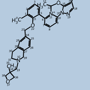 Cc1cccc(-c2cccc3[n+]2C(C)Oc2c(C(=O)O)cnn2-3)c1OCc1ccc2c(c1)CCN(CC1(C)COC1)C2